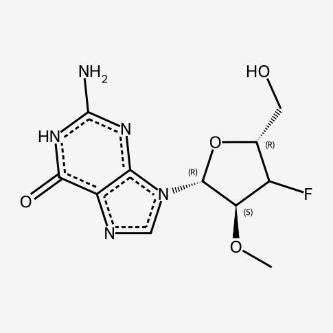 CO[C@@H]1C(F)[C@@H](CO)O[C@H]1n1cnc2c(=O)[nH]c(N)nc21